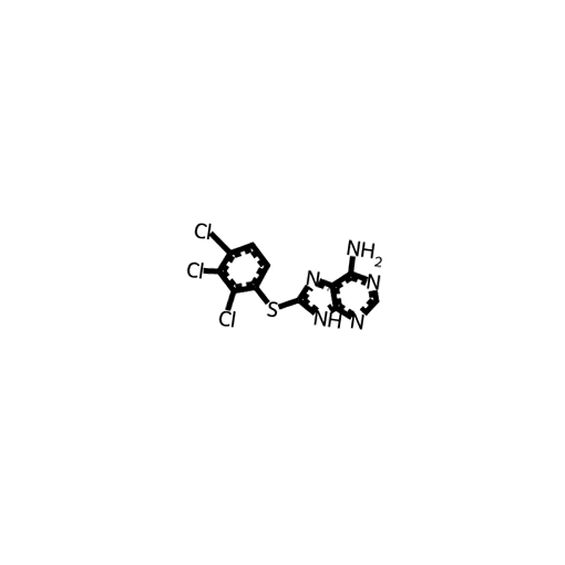 Nc1ncnc2[nH]c(Sc3ccc(Cl)c(Cl)c3Cl)nc12